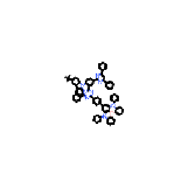 CC(C)(C)c1ccc2c(c1)c1ccccc1n2-c1ccc(-c2nc(-c3ccccc3)cc(-c3ccccc3)n2)cc1-c1nc(-c2ccccc2)nc(-c2ccc(-c3cc4c5c(c3)N(c3ccccc3)c3ccccc3B5c3ccccc3N4c3ccccc3)cc2)n1